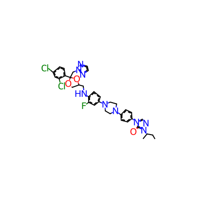 CCC(C)n1ncn(-c2ccc(N3CCN(c4ccc(NCC5COC(Cn6nccn6)(c6ccc(Cl)cc6Cl)O5)c(F)c4)CC3)cc2)c1=O